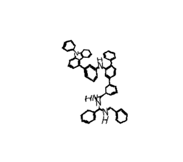 C1=CCCC(C(NCC2=CCCC=C2)[N@@]2NC2C2C=CC=C(c3ccc(-c4ccccc4)c(Nc4cccc(-c5cccc6c5c5c(n6-c6ccccc6)CCC=C5)c4)c3)C2)=C1